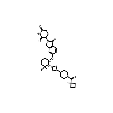 CC1(C(=O)N2CCC(C3CN([C@H]4[C@H](Oc5ccc6c(c5)CN(C5CCC(=O)NC5=O)C6=O)CCCC4(F)F)C3)CC2)CCC1